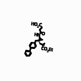 CCOC(=O)[C@H](C)C[C@@]1(Cc2ccc(-c3ccccc3)cc2)CC1NC(=O)CCC(=O)O